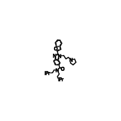 CC(C)CCN(CCC(C)C)C(=O)c1ccc2nc(-c3cc4ccccc4o3)n(CCCN3CCCC3)c2c1